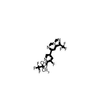 CC(C)(Oc1ncc(-c2cc3c(C(F)(F)F)ncn3cn2)cc1F)C(F)(F)F